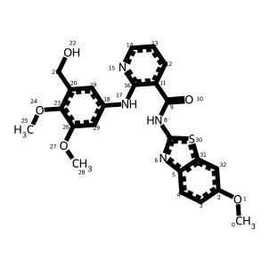 COc1ccc2nc(NC(=O)c3cccnc3Nc3cc(CO)c(OC)c(OC)c3)sc2c1